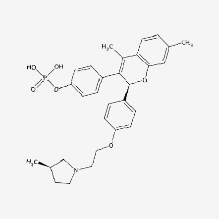 CC1=C(c2ccc(OP(=O)(O)O)cc2)[C@H](c2ccc(OCCN3CC[C@@H](C)C3)cc2)Oc2cc(C)ccc21